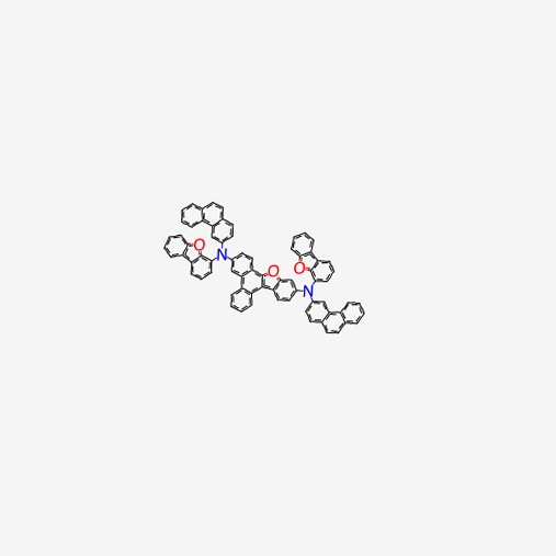 c1ccc2c(c1)ccc1ccc(N(c3ccc4c(c3)oc3c5ccc(N(c6ccc7ccc8ccccc8c7c6)c6cccc7c6oc6ccccc67)cc5c5ccccc5c43)c3cccc4c3oc3ccccc34)cc12